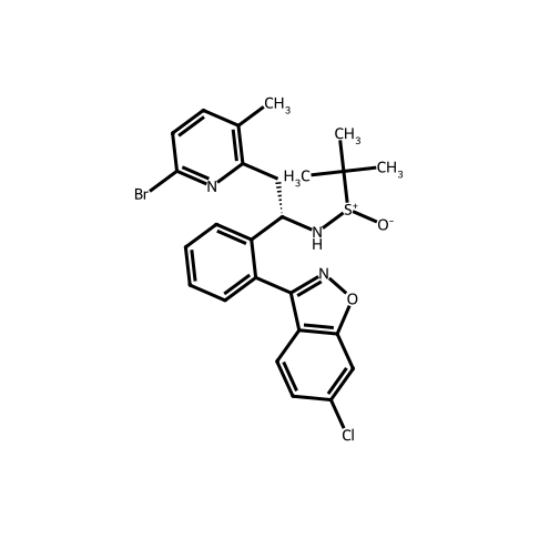 Cc1ccc(Br)nc1C[C@H](N[S+]([O-])C(C)(C)C)c1ccccc1-c1noc2cc(Cl)ccc12